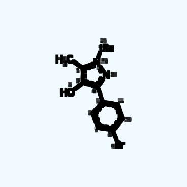 Cc1c(O)c(-c2ccc(Br)cc2)nn1C(C)(C)C